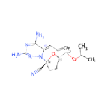 C=C/C=C1/C(N)=NC(N)=NN1[C@@]1(C#N)CC[C@@H](COC(C)C)O1